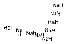 Cl.[NaH].[NaH].[NaH].[NaH].[NaH].[NaH].[NaH].[NaH]